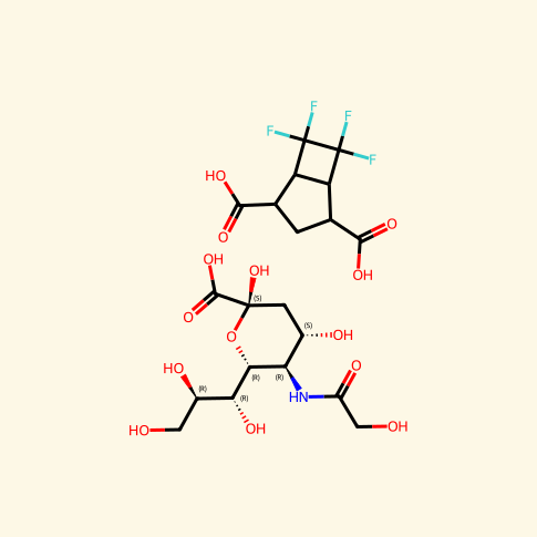 O=C(CO)N[C@H]1[C@H]([C@H](O)[C@H](O)CO)O[C@](O)(C(=O)O)C[C@@H]1O.O=C(O)C1CC(C(=O)O)C2C1C(F)(F)C2(F)F